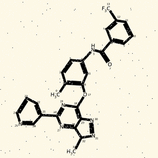 Cc1ccc(NC(=O)c2cccc(C(F)(F)F)c2)cc1Oc1nc(-c2cccnc2)nc2c1N=NC2C